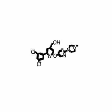 CN1CCN(c2ncc(Oc3cc(CO)cc(-c4cc(Cl)cc(Cl)c4)n3)cn2)CC1